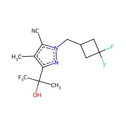 Cc1c(C(C)(O)C(F)(F)F)nn(CC2CC(F)(F)C2)c1C#N